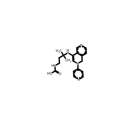 CC(C)(CCNC(=O)O)NC1=CN(c2ccncc2)Cc2ccncc21